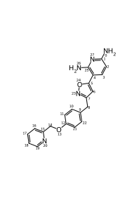 Nc1ccc(-c2cc(Cc3ccc(OCc4ccccn4)cc3)no2)c(N)n1